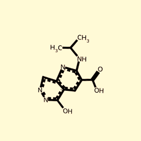 CC(C)Nc1nc2cnnc(O)c2cc1C(=O)O